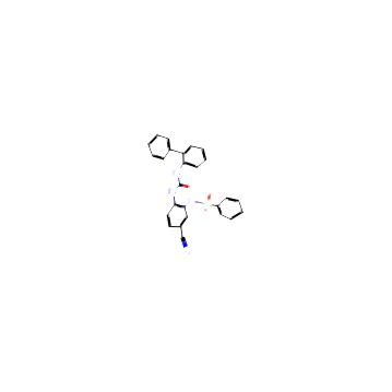 N#Cc1ccc(NC(=O)Nc2ccccc2-c2ccccc2)c(NS(=O)(=O)c2ccccc2)c1